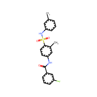 Cc1cc(NC(=O)c2cccc(F)c2)ccc1S(=O)(=O)Nc1cccc(C(F)(F)F)c1